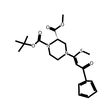 COC(=O)[C@@H]1CN(/C(=C/C(=O)c2ccccc2)SC)CCN1C(=O)OC(C)(C)C